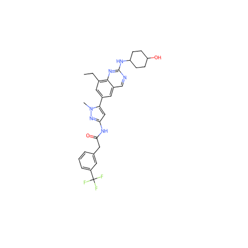 CCc1cc(-c2cc(NC(=O)Cc3cccc(C(F)(F)F)c3)nn2C)cc2cnc(NC3CCC(O)CC3)nc12